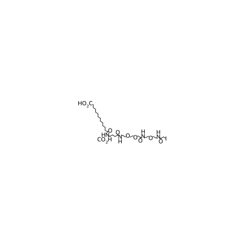 O=C(O)CCCCCCCCCCCCC(=O)N[C@@H](CCC(=O)NCCOCCOCC(=O)NCCOCCNC(=O)CI)C(=O)O